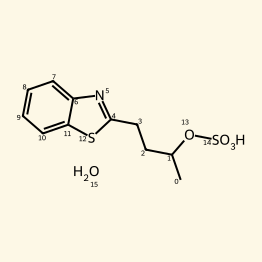 CC(CCc1nc2ccccc2s1)OS(=O)(=O)O.O